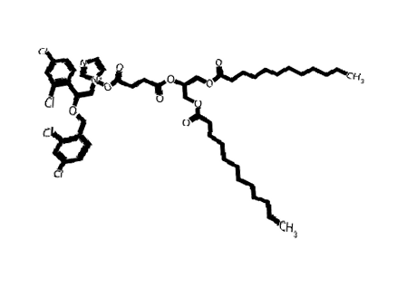 CCCCCCCCCCCC(=O)OCC(COC(=O)CCCCCCCCCCC)OC(=O)CCC(=O)O[N+]1(CC(OCc2ccc(Cl)cc2Cl)c2ccc(Cl)cc2Cl)C=CN=C1